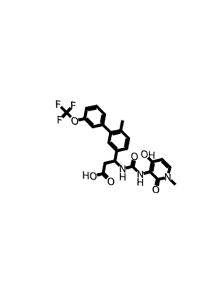 Cc1ccc(C(CC(=O)O)NC(=O)Nc2c(O)ccn(C)c2=O)cc1-c1cccc(OC(F)(F)F)c1